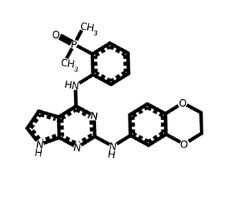 CP(C)(=O)c1ccccc1Nc1nc(Nc2ccc3c(c2)OCCO3)nc2[nH]ccc12